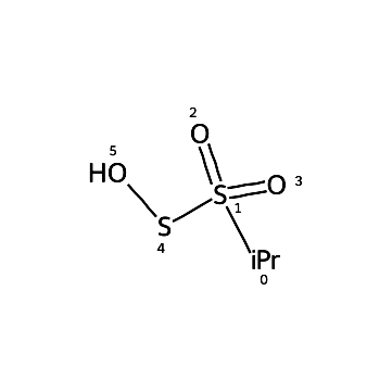 CC(C)S(=O)(=O)SO